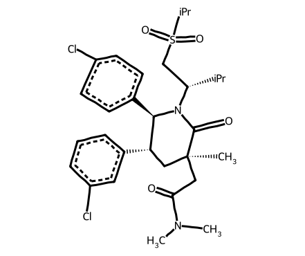 CC(C)[C@@H](CS(=O)(=O)C(C)C)N1C(=O)[C@@](C)(CC(=O)N(C)C)C[C@H](c2cccc(Cl)c2)[C@H]1c1ccc(Cl)cc1